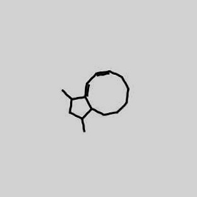 CC1CC(C)C2CCCCCC=CC=C12